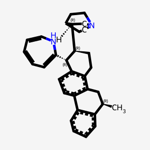 C[C@@H]1Cc2c(ccc3c2CC[C@H]([C@@H]2CN4CCC2CC4)[C@H]3C2=CC=CC=CN2)-c2ccccc21